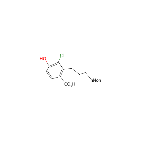 CCCCCCCCCCCCc1c(C(=O)O)ccc(O)c1Cl